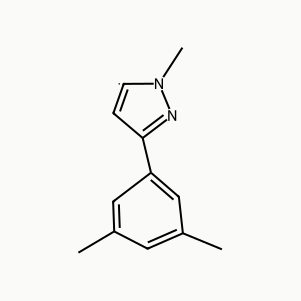 Cc1cc(C)cc(-c2c[c]n(C)n2)c1